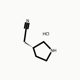 Cl.N#CC[C@H]1CCNC1